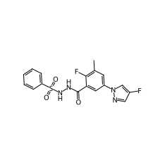 Cc1cc(-n2cc(F)cn2)cc(C(=O)NNS(=O)(=O)c2ccccc2)c1F